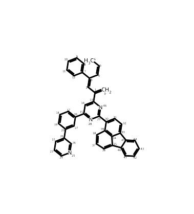 C=C(/C=C(\C=C/C)c1ccccc1)c1cc(-c2cccc(-c3cccnc3)c2)nc(-c2ccc3c4c(cccc24)-c2ccccc2-3)n1